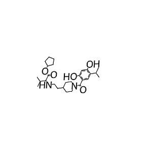 CC(C)c1cc(C(=O)N2CCC(CCN[C@H](C(=O)OC3CCCC3)C(C)C)CC2)c(O)cc1O